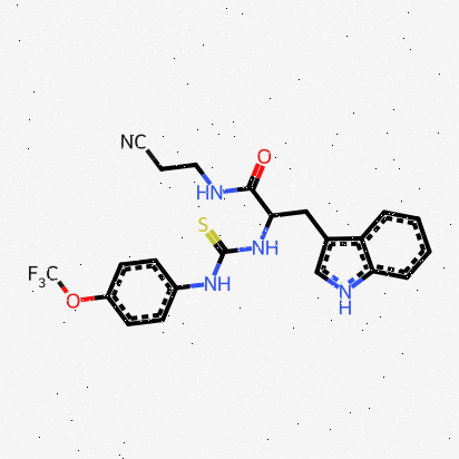 N#CCCNC(=O)C(Cc1c[nH]c2ccccc12)NC(=S)Nc1ccc(OC(F)(F)F)cc1